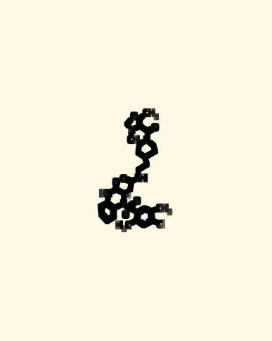 CC1=C(C(=O)N2CCC(CCNC(=O)C[C@@H]3C(=O)Nc4ccccc4N3S(=O)(=O)c3cc(C)c(Cl)cc3C)CC2)N(C)CO1